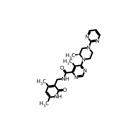 Cc1cc(C)c(CNC(=O)c2ncnc(N3CCN(c4ncccn4)C[C@@H]3C)c2C)c(=O)[nH]1